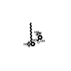 CCCCCCCCCCCCc1ccccc1S(=O)(=O)O.O=C(O)c1cc(S(=O)(=O)O)ccc1O